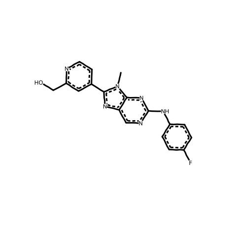 Cn1c(-c2ccnc(CO)c2)nc2cnc(Nc3ccc(F)cc3)nc21